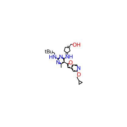 Cc1nc(NCC(C)(C)C)nc(N[C@H]2CC[C@@H](CO)C2)c1-c1cc2cc(OCC3CC3)ncc2o1